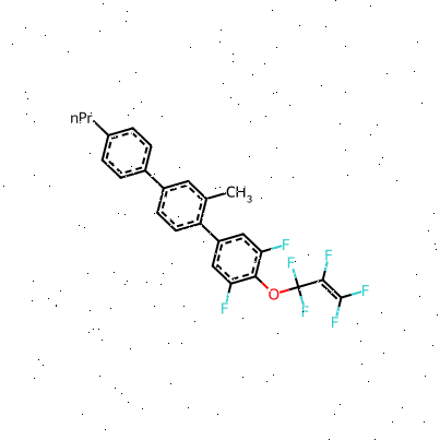 CCCc1ccc(-c2ccc(-c3cc(F)c(OC(F)(F)C(F)=C(F)F)c(F)c3)c(C)c2)cc1